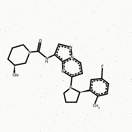 Cc1ccc(F)cc1[C@H]1CCCN1c1ccn2ncc(NC(=O)N3CCC[C@H](O)C3)c2n1